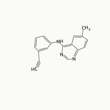 C#Cc1cccc(Nc2ncnc3ccc(C)cc23)c1